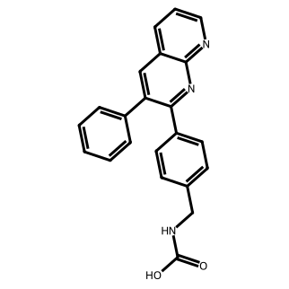 O=C(O)NCc1ccc(-c2nc3ncccc3cc2-c2ccccc2)cc1